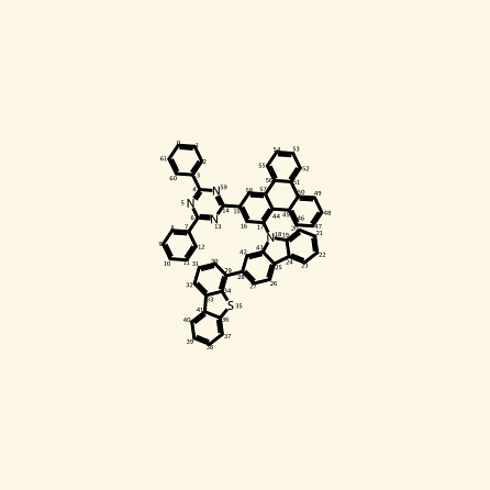 c1ccc(-c2nc(-c3ccccc3)nc(-c3cc(-n4c5ccccc5c5ccc(-c6cccc7c6sc6ccccc67)cc54)c4c5ccccc5c5ccccc5c4c3)n2)cc1